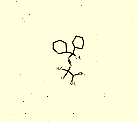 CC(C)C(C)(Cl)N=NC(C)(C1CCCCC1)C1CCCCC1